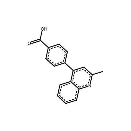 Cc1cc(-c2ccc(C(=O)O)cc2)c2ccccc2n1